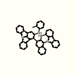 Cc1ccccc1Nc1cc2c3ccccc3n3c4ccccc4c(c1-c1cc4ccccc4c4c1Bc1cccc5c6ccccc6n-4c15)c23